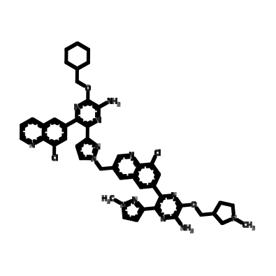 CN1CCC(COc2nc(-c3cc(Cl)c4ncc(Cn5ccc(-c6nc(N)c(OCC7CCCCC7)nc6-c6cc(Cl)c7ncccc7c6)n5)cc4c3)c(-c3ccn(C)n3)nc2N)C1